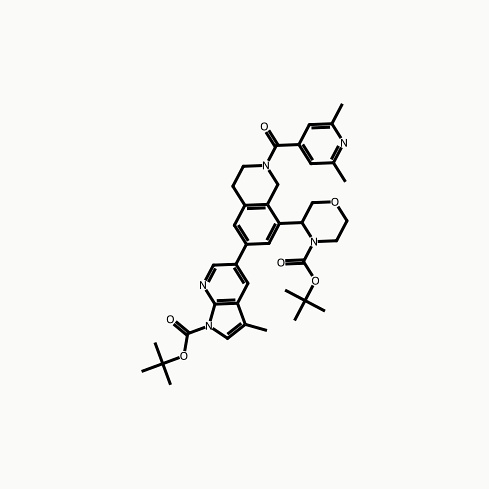 Cc1cc(C(=O)N2CCc3cc(-c4cnc5c(c4)c(C)cn5C(=O)OC(C)(C)C)cc(C4COCCN4C(=O)OC(C)(C)C)c3C2)cc(C)n1